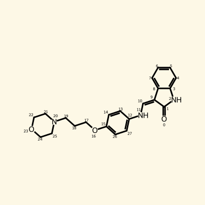 O=C1Nc2ccccc2C1=CNc1ccc(OCCCN2CCOCC2)cc1